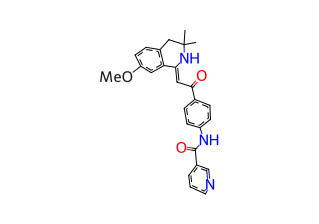 COc1ccc2c(c1)C(=CC(=O)c1ccc(NC(=O)c3cccnc3)cc1)NC(C)(C)C2